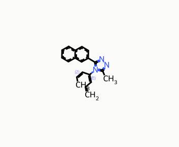 C=C/C=C(\C=C/C)n1c(C)nnc1-c1ccc2ccccc2c1